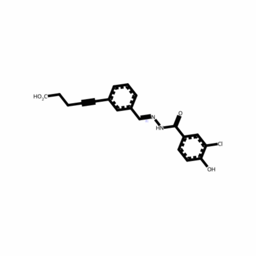 O=C(O)CCC#Cc1cccc(/C=N/NC(=O)c2ccc(O)c(Cl)c2)c1